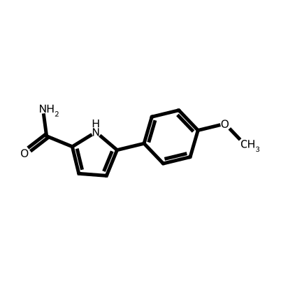 COc1ccc(-c2ccc(C(N)=O)[nH]2)cc1